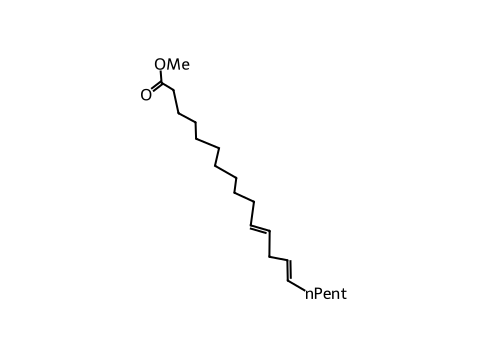 CCCCC/C=C/C/C=C/CCCCCCCCCC(=O)OC